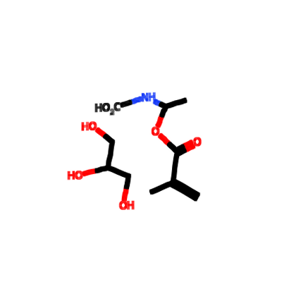 C=C(C)C(=O)OC(C)NC(=O)O.OCC(O)CO